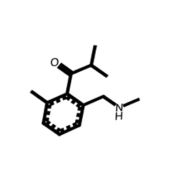 CNCc1cccc(C)c1C(=O)C(C)C